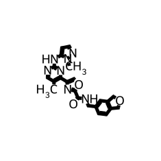 Cc1cnc(Nc2ccnn2C)nc1-c1coc(C(=O)NCc2ccc3c(c2)COC3)n1